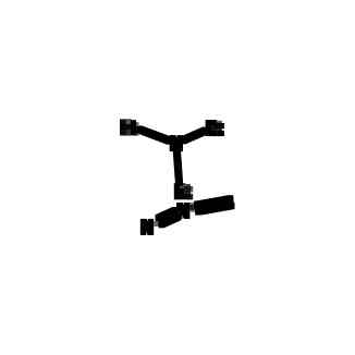 C=[N+]=[N-].CCN(CC)CC